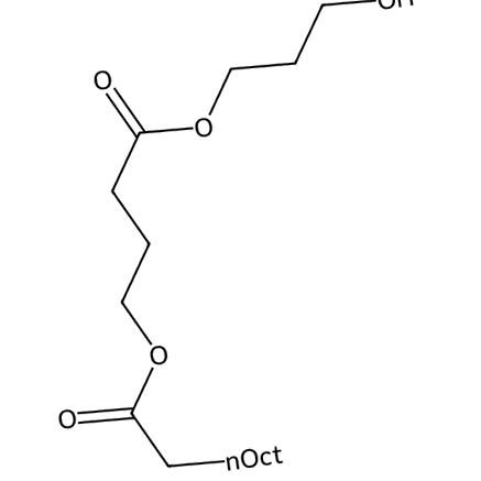 CCCCCCCCCC(=O)OCCCC(=O)OCCCO